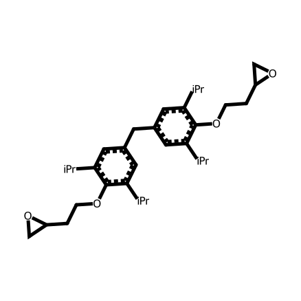 CC(C)c1cc(Cc2cc(C(C)C)c(OCCC3CO3)c(C(C)C)c2)cc(C(C)C)c1OCCC1CO1